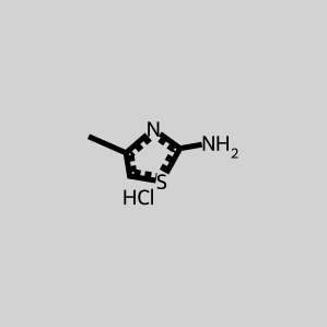 Cc1csc(N)n1.Cl